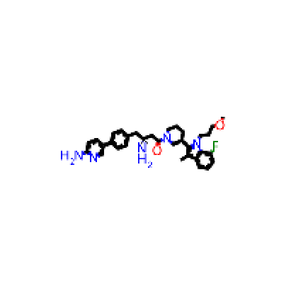 COCCCn1c(C2CCCN(C(=O)C[C@H](N)Cc3ccc(-c4ccc(N)nc4)cc3)C2)c(C)c2cccc(F)c21